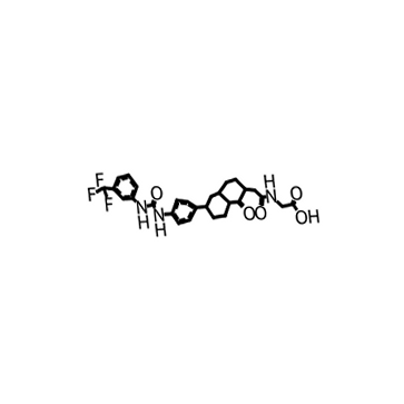 O=C(O)CNC(=O)CC1CCC2CC(c3ccc(NC(=O)Nc4cccc(C(F)(F)F)c4)cc3)CCC2C1=O